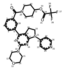 O=C(c1cccc(-c2nc(N3CCOCC3)nc3c2CCN3c2ccncc2)c1)N1CCC(OC(=O)C(F)(F)F)CC1